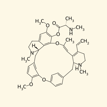 C=CC1=C2/C=C(\C)Oc3c(OC(=O)[C@H](C)NC)c(OC)cc4c3[C@H](Cc3ccc(OC)c(c3)Oc3ccc(cc3)C[C@@H]2N(C)CC1)N(C)CC4